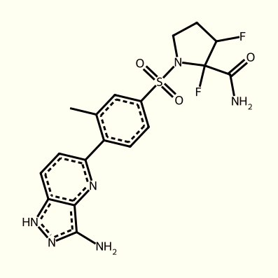 Cc1cc(S(=O)(=O)N2CCC(F)C2(F)C(N)=O)ccc1-c1ccc2[nH]nc(N)c2n1